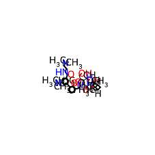 COc1c(CN2O[C@@H](CO)[C@@H]([C@H](C)O)[C@H]2C(=O)N[C@H]2C[C@H]3C[C@@H]([C@@H]2C)C3(C)C)cccc1-c1cc(C(=O)NCCN(C)C)cc(N(C)C)c1